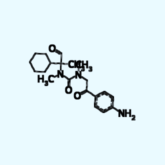 CN(CC(=O)c1ccc(N)cc1)C(=O)N(C)C(C)(C=O)C1CCCCC1